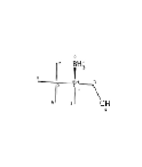 [BH3-][P@+](C)(CO)C(C)(C)C